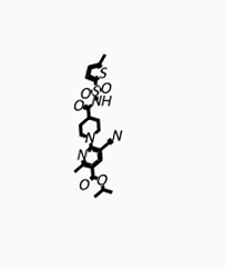 Cc1ccc(S(=O)(=O)NC(=O)C2CCN(c3nc(C)c(C(=O)OC(C)C)cc3C#N)CC2)s1